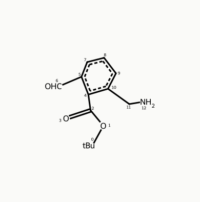 CC(C)(C)OC(=O)c1c(C=O)cccc1CN